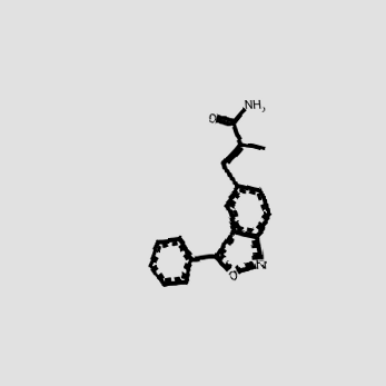 C/C(=C\c1ccc2noc(-c3ccccc3)c2c1)C(N)=O